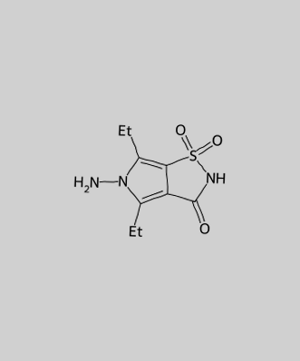 CCc1c2c(c(CC)n1N)S(=O)(=O)NC2=O